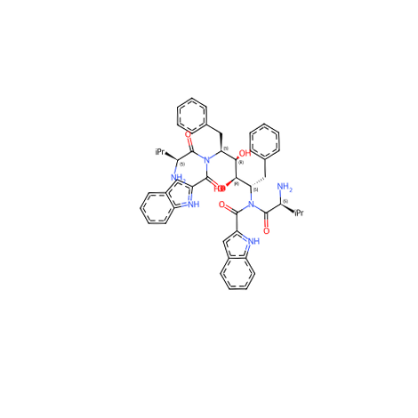 CC(C)[C@H](N)C(=O)N(C(=O)c1cc2ccccc2[nH]1)[C@@H](Cc1ccccc1)[C@@H](O)[C@H](O)[C@H](Cc1ccccc1)N(C(=O)c1cc2ccccc2[nH]1)C(=O)[C@@H](N)C(C)C